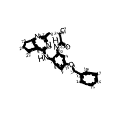 Cc1nc2c(c(Nc3ccc(OCc4ccccc4)cc3NC(=O)CCl)n1)CCC2